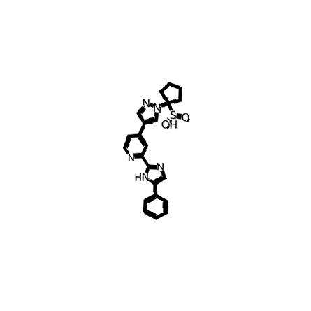 O=[SH](=O)C1(n2cc(-c3ccnc(-c4ncc(-c5ccccc5)[nH]4)c3)cn2)CCCC1